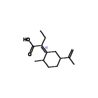 C=C(C)C1CCC(C)/C(=C(/CC)C(=O)O)C1